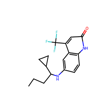 CCCC(Nc1ccc2[nH]c(=O)cc(C(F)(F)F)c2c1)C1CC1